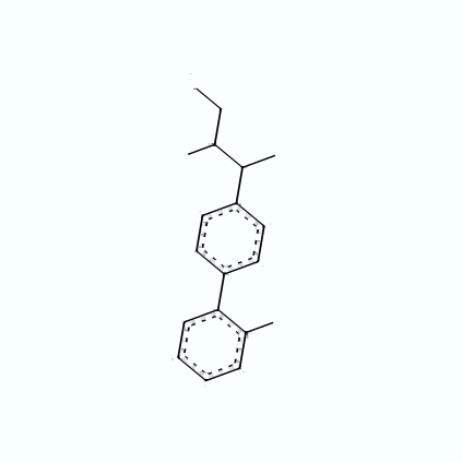 CC(c1ccc(-c2ccccc2Cl)cc1)C(O)CCl